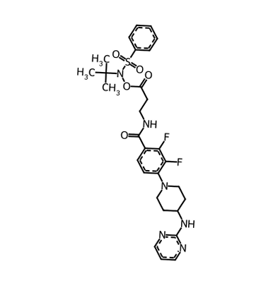 CC(C)(C)N(OC(=O)CCNC(=O)c1ccc(N2CCC(Nc3ncccn3)CC2)c(F)c1F)S(=O)(=O)c1ccccc1